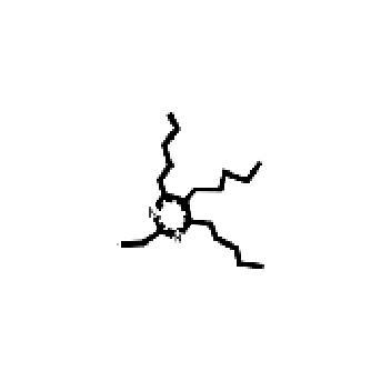 [CH2]Cc1nc(CCCCC)c(CCCCC)c(CCCCC)n1